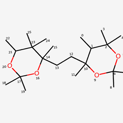 CC1C(C)(C)OC(C)(C)OC1(C)CCC1(C)OC(C)(C)OC(C)C1(C)C